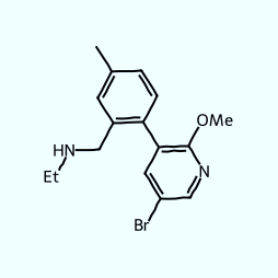 CCNCc1cc(C)ccc1-c1cc(Br)cnc1OC